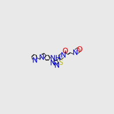 O=C(C=CCN1CCOCC1)N1CCc2c(sc3ncnc(Nc4ccc5c(ccn5Cc5ccccn5)c4)c23)C1